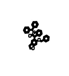 O=C1C(c2cc3c(cc2OCc2ccccc2)OCC3)c2ccccc2N1C(c1ccccc1)c1ccccc1